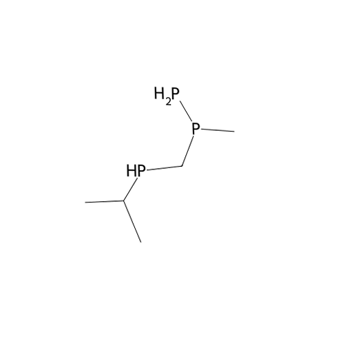 CC(C)PCP(C)P